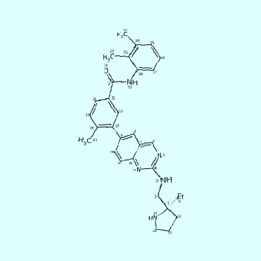 CC[C@]1(CNc2ncc3cc(-c4cc(C(=O)Nc5cccc(C(F)(F)F)c5C)ccc4C)ccc3n2)CCCN1